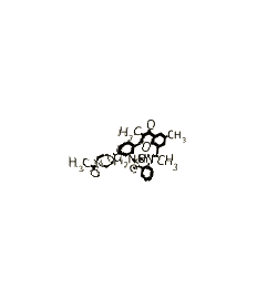 CC(=O)N1CCN(c2ccc(-c3oc4c(C(C)Nc5ccccc5S(N)(=O)=O)cc(C)cc4c(=O)c3C)cc2)CC1